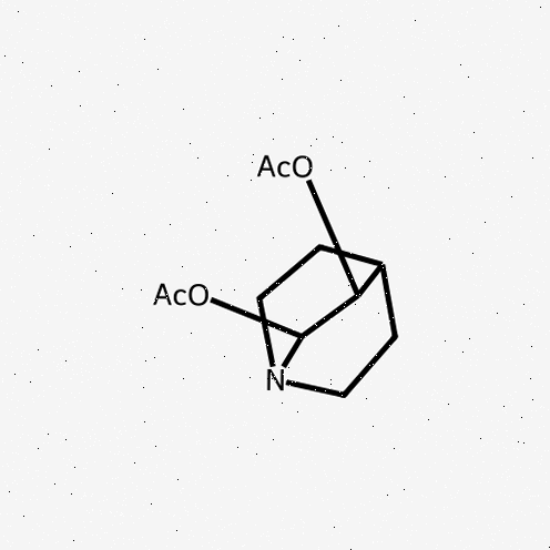 CC(=O)OC1C2CCN(CC2)C1OC(C)=O